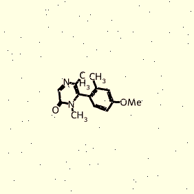 COc1ccc(-c2c(C)ncc(=O)n2C)c(C)c1